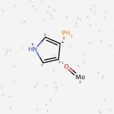 P.[O]=[Mo].c1cc[nH]c1